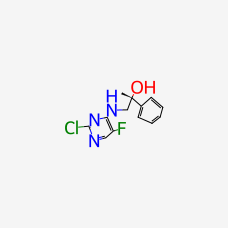 C[C@](O)(CNc1nc(Cl)ncc1F)c1ccccc1